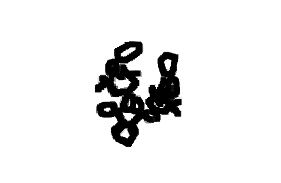 CC1(C)CC(OC(=O)c2ccccc2C(=O)OC2CC(C)(C)N(OC3CCCCC3)C(C)(C)C2)CC(C)(C)N1OC1CCCCC1